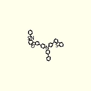 c1ccc(-c2ccc(N(c3ccc(-c4ccc5c(c4)oc4ccc6sc(-c7ccccc7)nc6c45)cc3)c3ccc(-c4cccc5c4sc4ccccc45)cc3)cc2)cc1